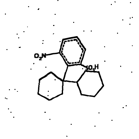 O=[N+]([O-])c1cccc(S(=O)(=O)O)c1C1(C2CCCCC2)CCCCC1